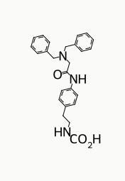 O=C(O)NCCc1ccc(NC(=O)CN(Cc2ccccc2)Cc2ccccc2)cc1